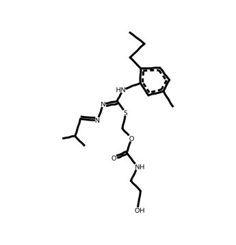 CCCc1ccc(C)cc1N/C(=N/N=C/C(C)C)SCOC(=O)NCCO